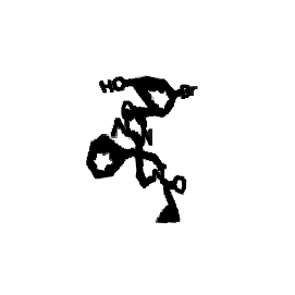 O=C(C1CC1)N1CCC(c2ccccc2)(c2noc(-c3cc(Br)ccc3O)n2)CC1